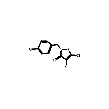 O=c1c(Cl)c(Cl)sn1Cc1ccc(Cl)cc1